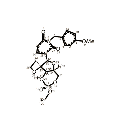 COc1ccc(Cn2c(=O)ccn([C@H]3O[C@@H]4CO[P@](=O)(OC(C)C)O[C@H]4[C@]34CCO4)c2=O)cc1